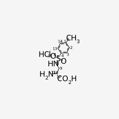 Cc1ccc(S(=O)(=O)NC[C@@H](N)C(=O)O)cc1.Cl